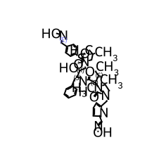 CC[C@H](C)[C@@](C)(C(=O)N[C@@H](Cc1ccccc1)[C@H](O)CN(CC(C)C)S(=O)(=O)c1ccc(/C=N/O)cc1)N1CCN(Cc2cccc(C=NO)n2)C1=O